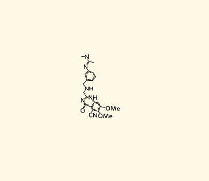 COc1cc2[nH]c(CNCc3cccc(/N=C(\C)N(C)C)c3)nc(=O)c2c(C#N)c1OC